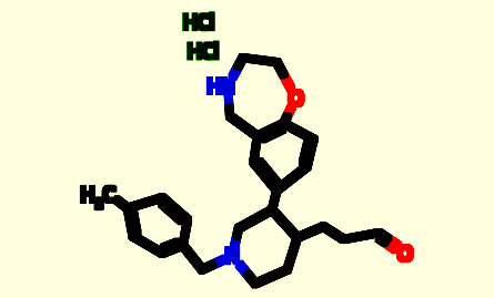 Cc1ccc(CN2CCC(CCC=O)C(c3ccc4c(c3)CNCCO4)C2)cc1.Cl.Cl